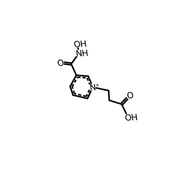 O=C(O)CC[n+]1cccc(C(=O)NO)c1